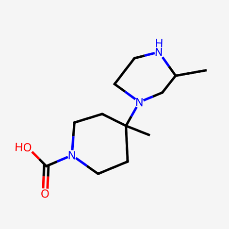 CC1CN(C2(C)CCN(C(=O)O)CC2)CCN1